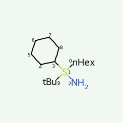 CCCCCCS(N)(C1CCCCC1)C(C)(C)C